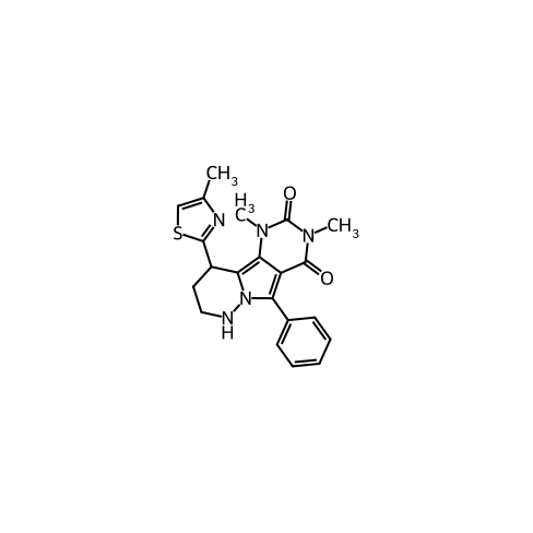 Cc1csc(C2CCNn3c(-c4ccccc4)c4c(=O)n(C)c(=O)n(C)c4c32)n1